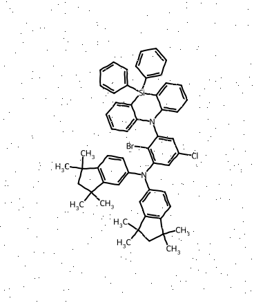 CC1(C)CC(C)(C)c2cc(N(c3ccc4c(c3)C(C)(C)CC4(C)C)c3cc(Cl)cc(N4c5ccccc5[Si](c5ccccc5)(c5ccccc5)c5ccccc54)c3Br)ccc21